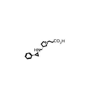 O=C(O)CCN1CC[C@@H](CN[C@@H]2C[C@H]2c2ccccc2)C1